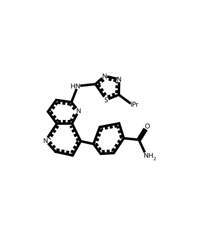 CC(C)c1nnc(Nc2ccc3nccc(-c4ccc(C(N)=O)cc4)c3n2)s1